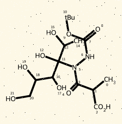 CC(C(=O)O)C(=O)N(NC(=O)OC(C)(C)C)C(O)(C(C)O)C(O)C(O)CO